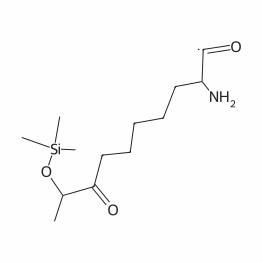 CC(O[Si](C)(C)C)C(=O)CCCCCC(N)[C]=O